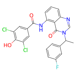 CC(c1cccc(F)c1)n1cnc2cccc(NC(=O)c3cc(Cl)c(O)c(Cl)c3)c2c1=O